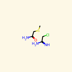 CSCC(N)=O.N=C(N)CCl